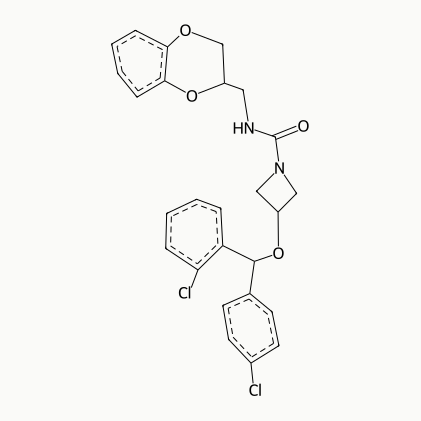 O=C(NCC1COc2ccccc2O1)N1CC(OC(c2ccc(Cl)cc2)c2ccccc2Cl)C1